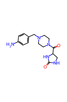 Nc1ccc(CN2CCN(C(=O)C3CNC(=O)N3)CC2)cc1